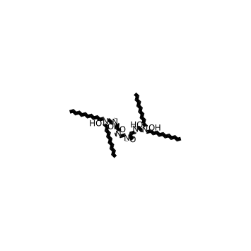 CCCCCCCCCCC(O)CN(CCN(C)CCC(=O)N(C)CCN(C)C(=O)CCN(C)CCN(CC(O)CCCCCCCCCC)CC(O)CCCCCCCCCC)CC(O)CCCCCCCCCC